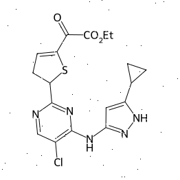 CCOC(=O)C(=O)C1=CCC(c2ncc(Cl)c(Nc3cc(C4CC4)[nH]n3)n2)S1